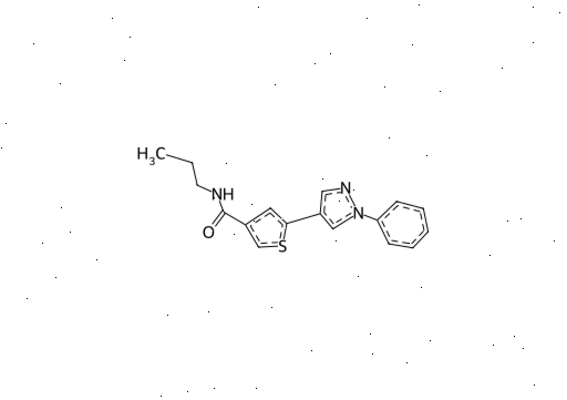 CCCNC(=O)c1csc(-c2cnn(-c3ccccc3)c2)c1